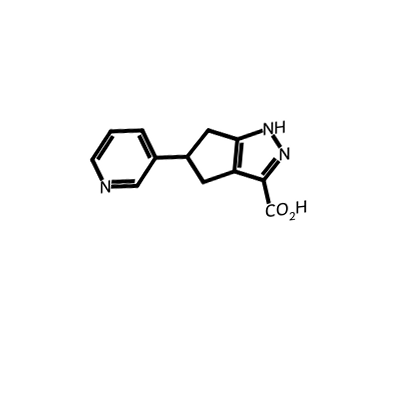 O=C(O)c1n[nH]c2c1CC(c1cccnc1)C2